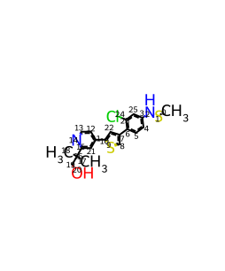 CSNc1ccc(-c2csc(-c3ccnc(C(C)(C)CO)c3)c2)c(Cl)c1